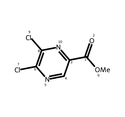 COC(=O)c1cnc(Cl)c(Cl)n1